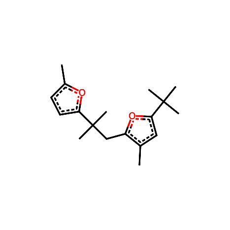 Cc1ccc(C(C)(C)Cc2oc(C(C)(C)C)cc2C)o1